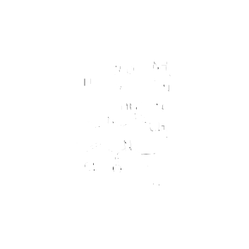 Cc1noc(-c2c(N)ncnc2N[C@@H](C)c2nc3cccc(Cl)c3c(=O)n2C2CC2CO)n1